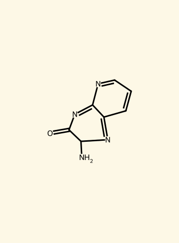 NC1N=c2cccnc2=NC1=O